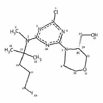 CN(c1nc(Cl)nc(N2CCOC[C@H]2CO)n1)C(C)(C)CCCI